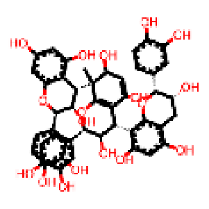 CC1([C@H]2c3c(O)cc(O)cc3O[C@H](c3ccc(O)c(O)c3)[C@@H]2O)C2=C(C(O)=CC1O)[C@H](c1c(O)cc(O)c3c1O[C@H](c1ccc(O)c(O)c1)[C@H](O)C3)[C@@H](O)[C@@H](c1ccc(O)c(O)c1)O2